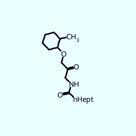 CCCCCCCC(=O)NCC(=O)COC1CCCCC1C